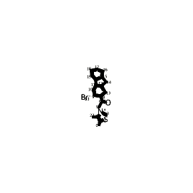 Cc1sc[n+](CC(=O)c2ccc3c(c2)Cc2ccccc2-3)c1C.[Br-]